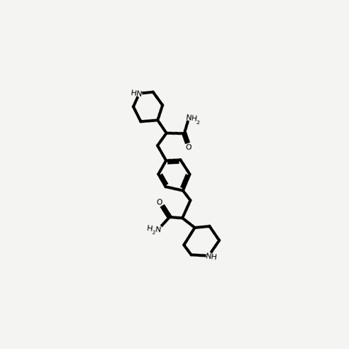 NC(=O)C(Cc1ccc(CC(C(N)=O)C2CCNCC2)cc1)C1CCNCC1